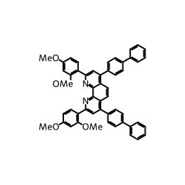 COc1ccc(-c2cc(-c3ccc(-c4ccccc4)cc3)c3ccc4c(-c5ccc(-c6ccccc6)cc5)cc(-c5ccc(OC)cc5OC)nc4c3n2)c(OC)c1